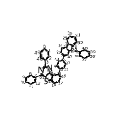 c1ccc(-c2nc(-c3ccccc3)c3sc4cccc(-c5ccc(-c6ccc7c8ccccc8n(-c8ccccc8)c7c6)cc5)c4c3n2)cc1